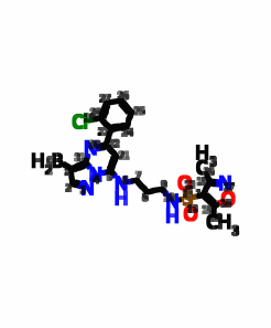 Bc1cnn2c(NCCCNS(=O)(=O)c3c(C)noc3C)cc(-c3ccccc3Cl)nc12